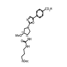 CCCCCCCCCCCCCNC(=O)N[C@H]1CN(c2ncc(-c3ccc(C(=O)O)cc3)o2)C[C@@H]1OC